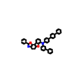 c1ccc(-c2ccc(-c3ccc(N(c4cccc(-c5ccccc5)c4)c4cccc5c4oc4ccc6nc(-c7ccccc7)oc6c45)cc3)cc2)cc1